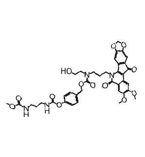 COC(=O)NCCCNC(=O)Oc1ccc(COC(=O)N(CCO)CCCn2c3c(c4cc(OC)c(OC)cc4c2=O)C(=O)c2cc4c(cc2-3)OCO4)cc1